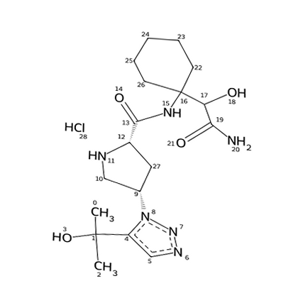 CC(C)(O)c1cnnn1[C@@H]1CN[C@H](C(=O)NC2(C(O)C(N)=O)CCCCC2)C1.Cl